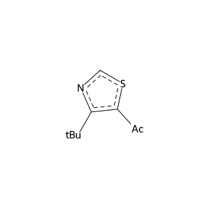 CC(=O)c1scnc1C(C)(C)C